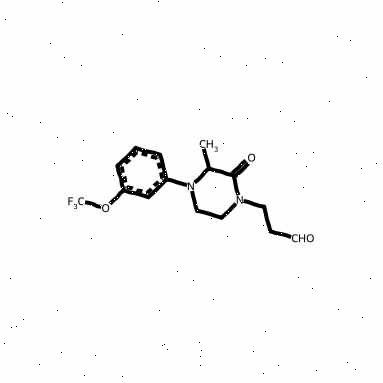 CC1C(=O)N(CCC=O)CCN1c1cccc(OC(F)(F)F)c1